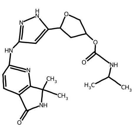 CC(C)NC(=O)OC1COC(c2cc(Nc3ccc4c(n3)C(C)(C)NC4=O)n[nH]2)C1